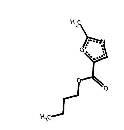 CCCCOC(=O)c1cnc(C)o1